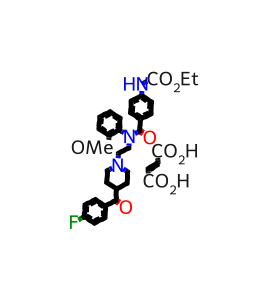 CCOC(=O)Nc1ccc(C(=O)N(CCN2CCC(C(=O)c3ccc(F)cc3)CC2)c2ccccc2OC)cc1.O=C(O)C=CC(=O)O